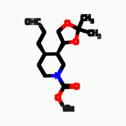 CC(C)(C)OC(=O)N1CC[C@@H](CCC=O)[C@@H](C2COC(C)(C)O2)C1